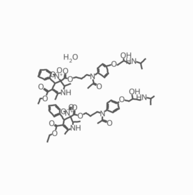 CCOC(=O)C1=C(C)NC(C)C(C(=O)OCCCN(C(C)=O)c2ccc(OCC(O)CNC(C)C)cc2)([N+](=O)[O-])C1c1ccccc1.CCOC(=O)C1=C(C)NC(C)C(C(=O)OCCCN(C(C)=O)c2ccc(OCC(O)CNC(C)C)cc2)([N+](=O)[O-])C1c1ccccc1.O